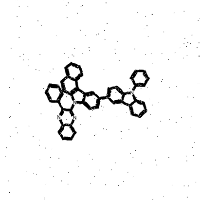 c1ccc(-c2nc3ccccc3nc2-n2c3ccc(-c4ccc5c(c4)c4ccccc4n5-c4ccccc4)cc3c3c4ccccc4ccc32)cc1